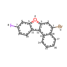 Brc1cc2oc3cc(I)ccc3c2c2ccccc12